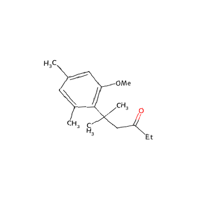 CCC(=O)CC(C)(C)c1c(C)cc(C)cc1OC